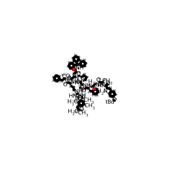 Cc1c(C)c(S(=O)(=O)NC(=N)NCCC[C@H](NC(=O)[C@H](CCC(=O)NC(c2ccccc2)(c2ccccc2)c2ccccc2)NC(=O)[C@@H]2CCCN2C(=O)[C@@H](CC(C)C)NC(=O)[C@H](Cc2ccccc2)NC(=O)CNC(=O)[C@@H](C)NC(=O)[C@@H](N)Cc2ccc(OC(C)(C)C)cc2)C(=O)N[C@@H](Cc2ccccc2)C(=O)O)c(C)c2c1OC(C)(C)C2